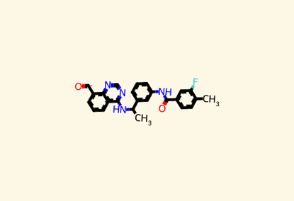 Cc1ccc(C(=O)Nc2cccc(C(C)Nc3ncnc4c([C]=O)cccc34)c2)cc1F